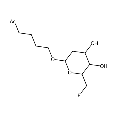 CC(=O)CCCCOC1CC(O)C(O)C(CF)O1